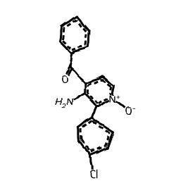 Nc1c(C(=O)c2ccccc2)cc[n+]([O-])c1-c1ccc(Cl)cc1